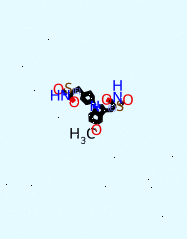 COc1ccc2c(c1)c(/C=C1/SC(=O)NC1=O)cn2-c1ccc(/C=C2/SC(=O)NC2=O)cc1